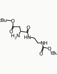 CC(C)(C)OC(=O)C[C@H](N)C(=O)NCCNC(=O)OC(C)(C)C